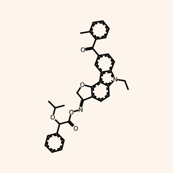 CCn1c2ccc(C(=O)c3ccccc3C)cc2c2c3c(ccc21)/C(=N/OC(=O)C(OC(C)C)c1ccccc1)CO3